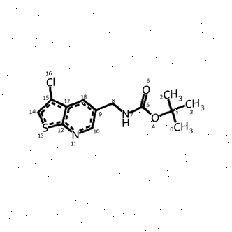 CC(C)(C)OC(=O)NCc1cnc2scc(Cl)c2c1